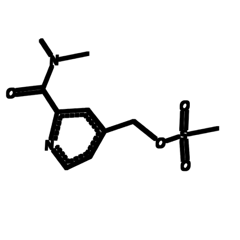 CN(C)C(=O)c1cc(COS(C)(=O)=O)ccn1